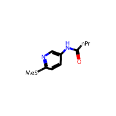 CCCC(=O)Nc1ccc(SC)nc1